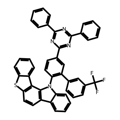 FC(F)(F)c1cccc(-c2cc(-c3nc(-c4ccccc4)nc(-c4ccccc4)n3)ccc2-n2c3ccccc3c3ccc4sc5ccccc5c4c32)c1